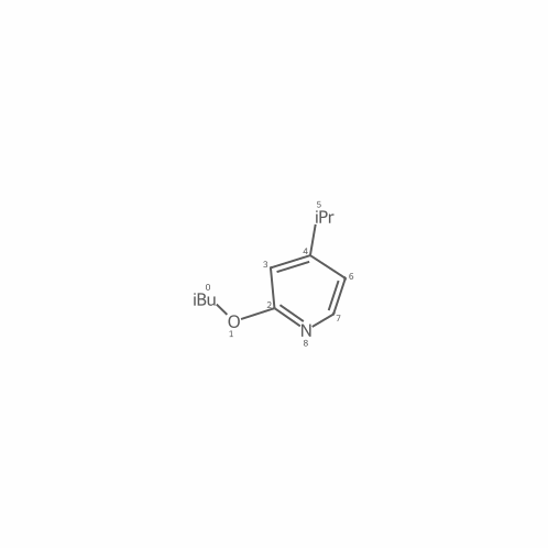 CCC(C)Oc1cc(C(C)C)ccn1